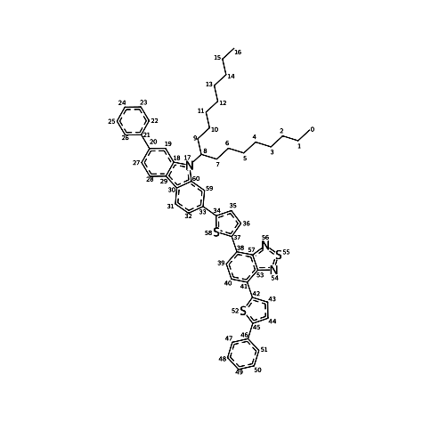 CCCCCCCCC(CCCCCCCC)n1c2cc(-c3ccccc3)ccc2c2ccc(-c3ccc(-c4ccc(-c5ccc(-c6ccccc6)s5)c5nsnc45)s3)cc21